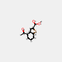 COC(=O)c1cc2c(C(C)=O)cccc2s1